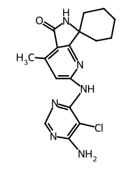 Cc1cc(Nc2ncnc(N)c2Cl)nc2c1C(=O)NC21CCCCC1